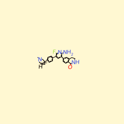 CN1C[C@H]2C[C@@]2(c2ccc(-c3cc(-c4ccc5c(c4)CCNC5=O)c(N)nc3F)cc2)C1